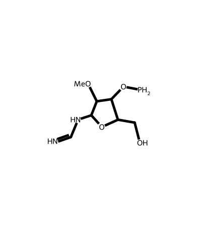 COC1C(NC=N)OC(CO)C1OP